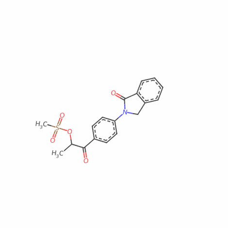 CC(OS(C)(=O)=O)C(=O)c1ccc(N2Cc3ccccc3C2=O)cc1